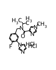 CC(C)N(Cc1ccc(F)c(-n2ccnc2)c1)C(=O)c1cn(C)cn1.Cl.Cl